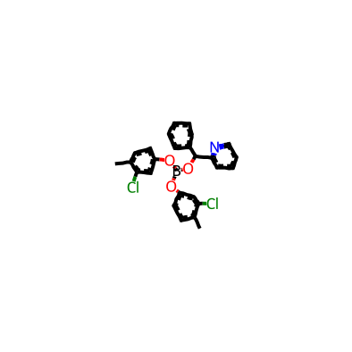 Cc1ccc(OB(Oc2ccc(C)c(Cl)c2)OC(c2ccccc2)c2ccccn2)cc1Cl